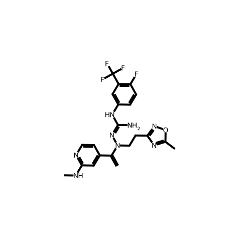 C=C(c1ccnc(NC)c1)N(CCc1noc(C)n1)/N=C(\N)Nc1ccc(F)c(C(F)(F)F)c1